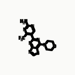 Nc1ncc(-c2nc(N3CCOCC3)c3scnc3n2)c(C(F)(F)F)n1